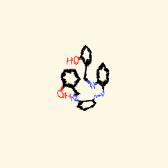 Oc1ccccc1C=Nc1ccccc1N=Nc1ccccc1N=Cc1ccccc1O